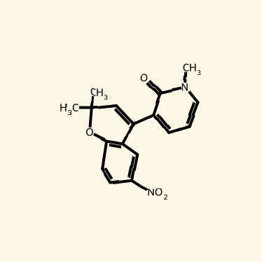 Cn1cccc(C2=CC(C)(C)Oc3ccc([N+](=O)[O-])cc32)c1=O